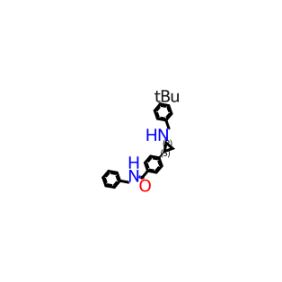 CC(C)(C)c1ccc(CN[C@@H]2C[C@H]2c2ccc(C(=O)NCc3ccccc3)cc2)cc1